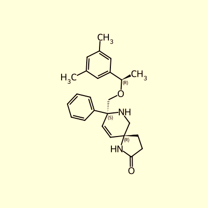 Cc1cc(C)cc([C@@H](C)OC[C@@]2(c3ccccc3)C=C[C@]3(CCC(=O)N3)CN2)c1